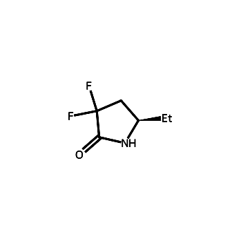 CC[C@@H]1CC(F)(F)C(=O)N1